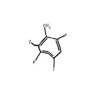 Cc1c(F)cc(I)c(F)c1F